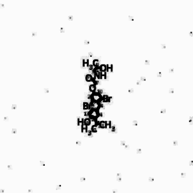 CC(O)CNC(=O)COc1cc(Br)c(Cc2ccc(O)c(C(C)C)c2)c(Br)c1